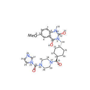 COc1ccc2c(c1)c(=O)n(C[C@H]1CC[C@H](C(=O)N3CCN(C(=O)n4ccnc4)CC3)CC1)c(=O)n2C